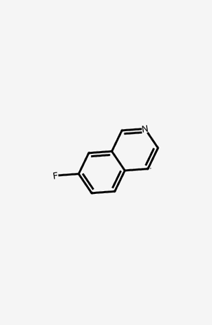 Fc1ccc2[c]cncc2c1